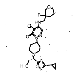 CC[C@@H](c1nc(C2CC2)no1)N1CCC(n2ncc(NCC3(F)CCCOC3)c(Cl)c2=O)CC1